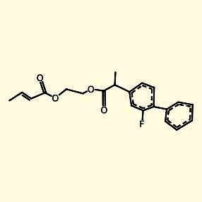 C/C=C/C(=O)OCCOC(=O)C(C)c1ccc(-c2ccccc2)c(F)c1